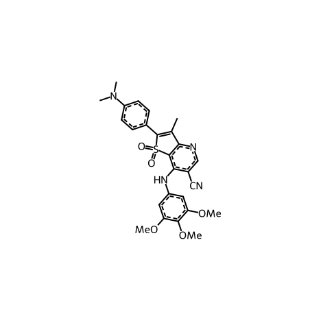 COc1cc(Nc2c(C#N)cnc3c2S(=O)(=O)C(c2ccc(N(C)C)cc2)=C3C)cc(OC)c1OC